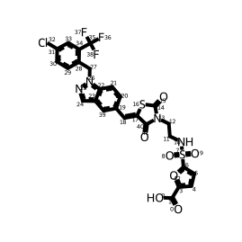 O=C(O)c1ccc(S(=O)(=O)NCCN2C(=O)S/C(=C\c3ccc4c(cnn4Cc4ccc(Cl)cc4C(F)(F)F)c3)C2=O)o1